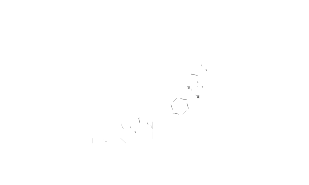 CCCCC1=C(C)CN(C(=O)NCCc2ccc(S(=O)(=O)NC(=O)NC3CCC(C)CC3)cc2)C1=O